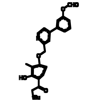 Cc1c(OCc2cc(-c3cccc(OC=O)c3)ccn2)ccc(C(=O)CC(C)(C)C)c1O